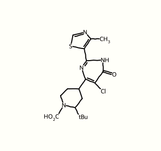 Cc1ncsc1-c1nc(C2CCN(C(=O)O)C(C(C)(C)C)C2)c(Cl)c(=O)[nH]1